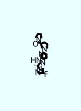 C[C@H](c1nc2ccc(N3CCCC(C(=O)N4CCCC4)C3)nc2[nH]1)n1cc(F)cn1